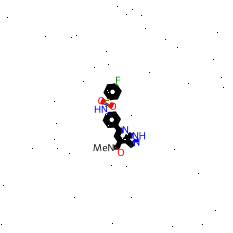 CNC(=O)c1cc(-c2ccc(NS(=O)(=O)c3ccc(F)cc3)cc2)nc2[nH]ncc12